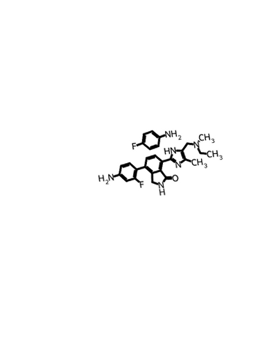 CCN(C)Cc1[nH]c(-c2ccc(-c3ccc(N)cc3F)c3c2C(=O)NC3)nc1C.Nc1ccc(F)cc1